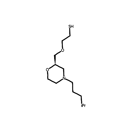 CC(C)CCCN1CCO[C@@H](COCCS)C1